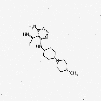 CN1CCN(C2CCC(Nc3ncnc(N)c3C(=N)I)CC2)CC1